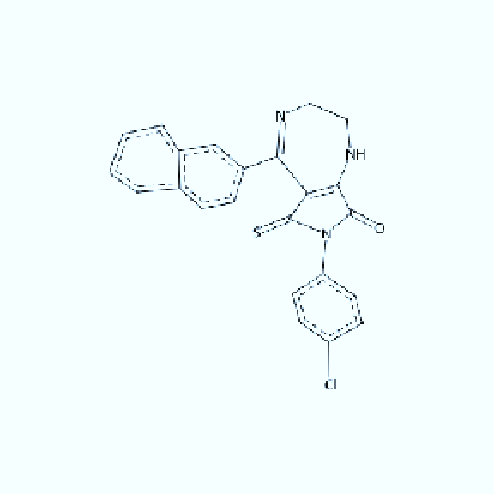 O=C1C2=C(C(=S)N1c1ccc(Cl)cc1)C(c1ccc3ccccc3c1)=NCCN2